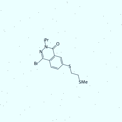 CSCCSc1ccc2c(Br)nn(C(C)C)c(=O)c2c1